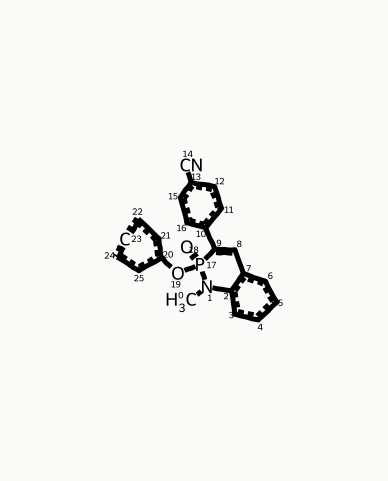 CN1c2ccccc2C=C(c2ccc(C#N)cc2)P1(=O)Oc1ccccc1